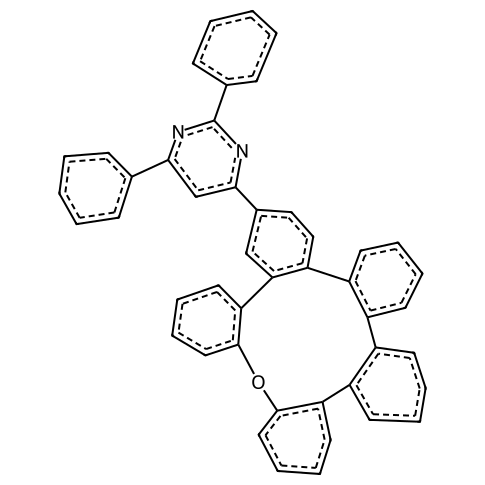 c1ccc(-c2cc(-c3ccc4c(c3)-c3ccccc3Oc3ccccc3-c3ccccc3-c3ccccc3-4)nc(-c3ccccc3)n2)cc1